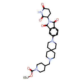 CC(C)(C)OC(=O)N1CCC(CN2CCC3(CC2)CCN(c2ccc4c(c2)C(=O)N(C2CCC(=O)NC2=O)C4=O)CC3)CC1